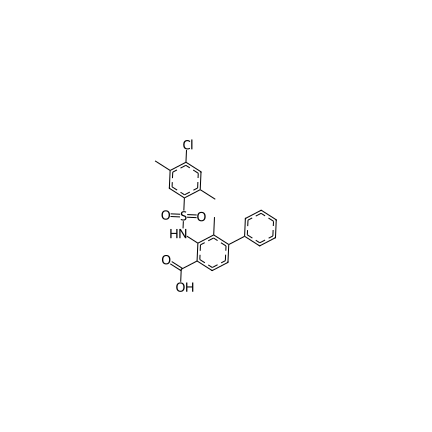 Cc1cc(S(=O)(=O)Nc2c(C(=O)O)ccc(-c3ccccc3)c2C)c(C)cc1Cl